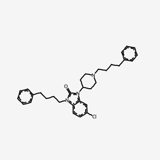 O=c1n(CCCCc2ccccc2)c2ccc(Cl)cc2n1C1CCN(CCCCc2ccccc2)CC1